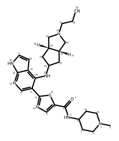 CN1CCC(NC(=O)c2cnc(-c3cnc4[nH]ccc4c3NC3C[C@@H]4CN(CCC#N)C[C@@H]4C3)s2)CC1